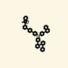 Cc1c(-c2cccc(-c3ccc(-c4ccc(N(c5ccc(-c6ccccc6-c6ccccc6-c6ccccc6)cc5)c5ccc(-c6cccc7ccccc67)cc5)cc4)cc3)c2)oc2ccccc12